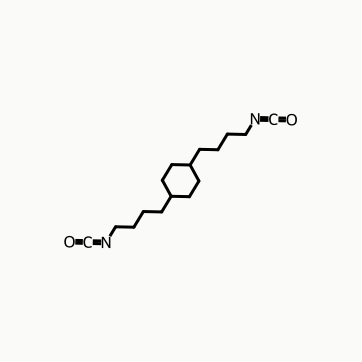 O=C=NCCCCC1CCC(CCCCN=C=O)CC1